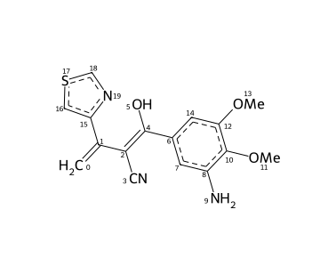 C=C(/C(C#N)=C(\O)c1cc(N)c(OC)c(OC)c1)c1cscn1